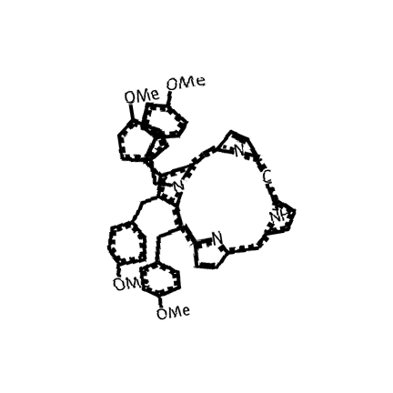 COc1ccc(Cc2c(Cc3ccc(OC)cc3)c3c(Cc4ccc(OC)cc4)c4nc(cc5ccc(cc6nc(cc2n3Cc2ccc(OC)cc2)C=C6)[nH]5)C=C4)cc1